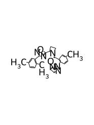 Cc1ccc(-n2nccn2)c(C(=O)N2CCC2c2nc(-c3cc(C)ccc3C)no2)c1